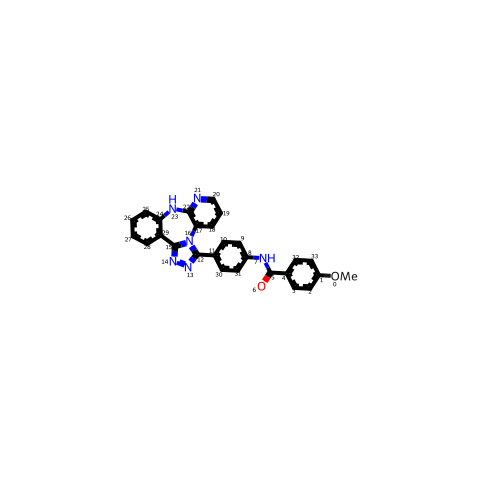 COc1ccc(C(=O)Nc2ccc(-c3nnc4n3-c3cccnc3Nc3ccccc3-4)cc2)cc1